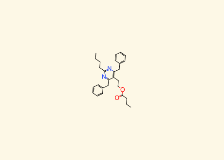 CCCCc1nc(Cc2ccccc2)c(CCOC(=O)CCC)c(Cc2ccccc2)n1